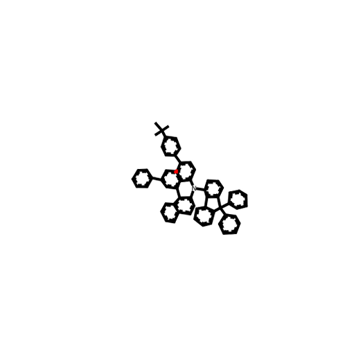 CC(C)(C)c1ccc(-c2ccc(N(c3cccc4c3-c3ccccc3C4(c3ccccc3)c3ccccc3)c3ccc4ccccc4c3-c3cccc(-c4ccccc4)c3)cc2)cc1